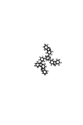 c1cc(-c2nc(-c3ccc4sc5ccccc5c4c3)nc(-c3ccc4sc5ccccc5c4c3)n2)cc(-n2c3ccccc3c3c4sc5ccccc5c4ccc32)c1